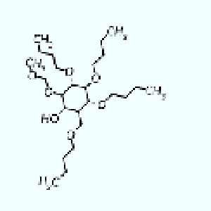 CCCCOC[C@H]1[C@H](O)[C@@H](OCOC)[C@H](OCCCC)[C@@H](OCCCC)[C@@H]1OCCCC